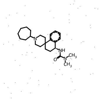 CN(C)C(=O)N[C@H]1CCC2(CCN(C3CCCCCC3)CC2)c2ccccc21